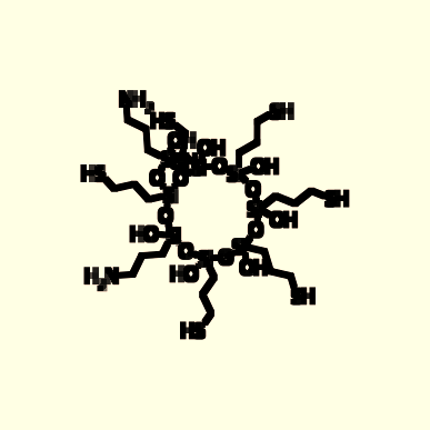 NCCC[Si](O)(O)O[Si]1(CCCS)O[Si](O)(CCS)O[Si](O)(CCCS)O[Si](O)(CCCS)O[Si](O)(CCCS)O[Si](O)(CCCS)O[Si](O)(CCCN)O1